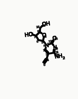 C#Cc1cn(C2CC(O)C(CO)O2)c(=O)nc1N